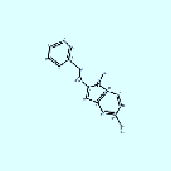 Cn1c(OCc2ccccc2)cc2cc(F)ccc21